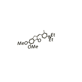 CCN(CC)c1ccc(C=C2Cc3cc(OC)c(OC)cc3C2=O)c(C)c1